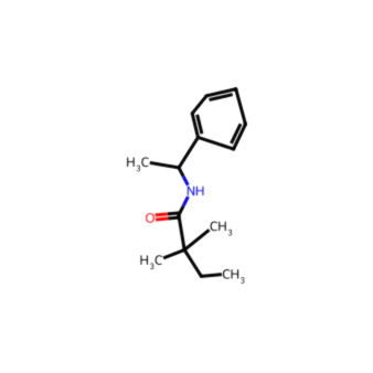 CCC(C)(C)C(=O)NC(C)c1ccccc1